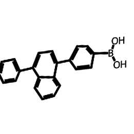 OB(O)c1ccc(-c2ccc(-c3ccccc3)c3ccccc23)cc1